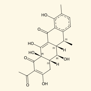 CC(=O)C1=C(O)C[C@H]2[C@H](O)[C@@H]3C(=C(O)[C@@]2(O)C1=O)C(=O)c1c(ccc(C)c1O)[C@H]3C